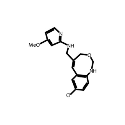 COc1ccnc(NC/C2=C/c3cc(Cl)ccc3NCOC2)c1